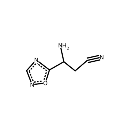 N#CCC(N)c1ncno1